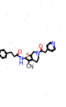 N#Cc1c(NC(=O)CCc2ccccc2)sc2c1CCN(C(=O)Cc1ccncc1)C2